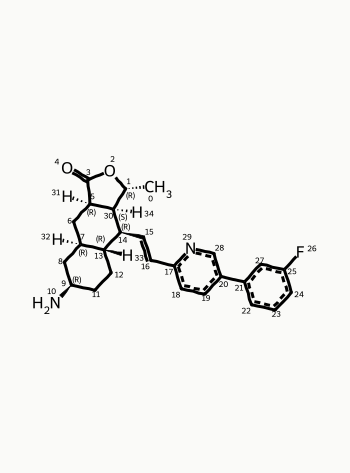 C[C@H]1OC(=O)[C@@H]2C[C@@H]3C[C@H](N)CC[C@H]3[C@H](C=Cc3ccc(-c4cccc(F)c4)cn3)[C@H]12